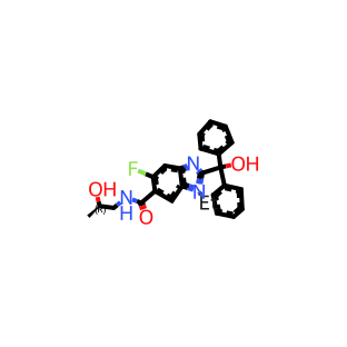 CCn1c(C(O)(c2ccccc2)c2ccccc2)nc2cc(F)c(C(=O)NC[C@@H](C)O)cc21